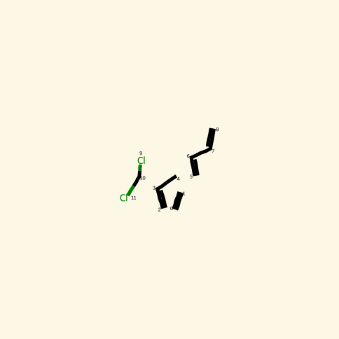 C=C.C=CC.C=CC=C.ClCCl